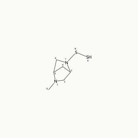 CN1CC2CC1CN2SS